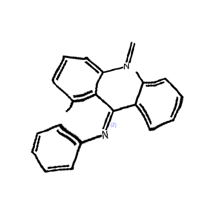 C=Nc1cccc(C)c1/C(=N\c1ccccc1)c1ccccc1C